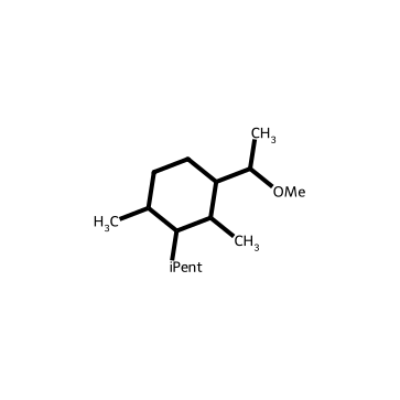 CCCC(C)C1C(C)CCC(C(C)OC)C1C